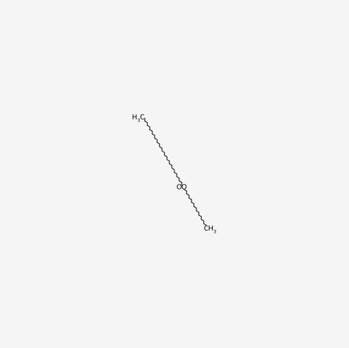 CCCCCCCCCCCCCCCCCCCCCCCCCCCCCCCCC(=O)OCCCCCCCCCCCCCCCCCCC